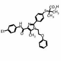 CCc1ccc(NC(=O)c2nc(-c3ccc(SC(C)(C)C(=O)O)cc3)n(CCOc3ccccc3)c2C)cc1